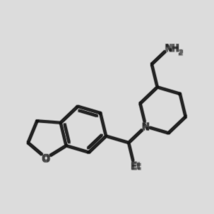 CCC(c1ccc2c(c1)OCC2)N1CCCC(CN)C1